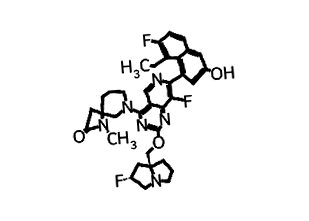 CCc1c(F)ccc2cc(O)cc(-c3ncc4c(N5CCCC6(CC(=O)N6C)C5)nc(OC[C@@]56CCCN5C[C@H](F)C6)nc4c3F)c12